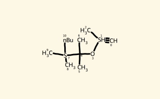 C#[SH](C)OC(C)(C)S(C)(C)CCCC